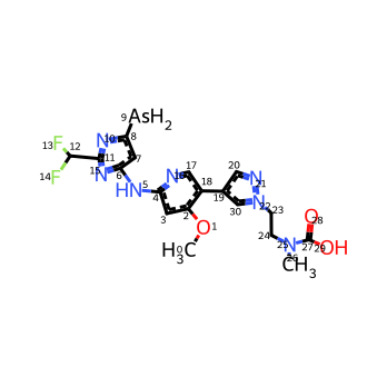 COc1cc(Nc2cc([AsH2])nc(C(F)F)n2)ncc1-c1cnn(CCN(C)C(=O)O)c1